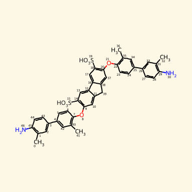 Cc1cc(-c2ccc(Oc3cc4c(cc3S(=O)(=O)O)-c3cc(S(=O)(=O)O)c(Oc5ccc(-c6ccc(N)c(C)c6)cc5C)cc3C4)c(C)c2)ccc1N